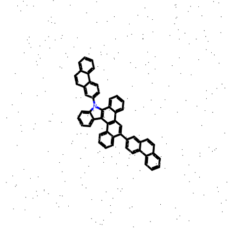 c1ccc2c(c1)ccc1cc(-c3cc4c5ccccc5c5c(c6ccccc6n5-c5ccc6c(ccc7ccccc76)c5)c4c4ccccc34)ccc12